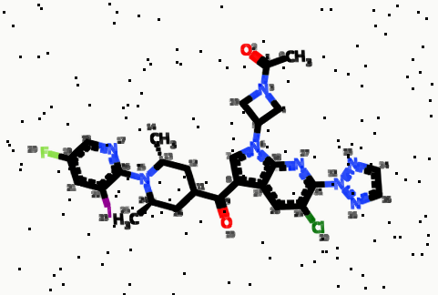 CC(=O)N1CC(n2cc(C(=O)C3C[C@@H](C)N(c4ncc(F)cc4I)[C@H](C)C3)c3cc(Cl)c(-n4nccn4)nc32)C1